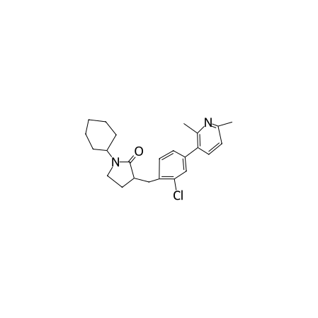 Cc1ccc(-c2ccc(CC3CCN(C4CCCCC4)C3=O)c(Cl)c2)c(C)n1